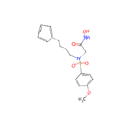 COc1ccc(S(=O)(=O)N(CCCCc2ccccc2)CC(=O)NO)cc1